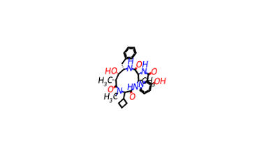 C[C@H]1NC(=O)C(C2CCC2)N(C)C(=O)[C@H](C)[C@H](O)[C@H](Cc2ccccc2)NC(=O)[C@H]1NC(=O)c1ncccc1O